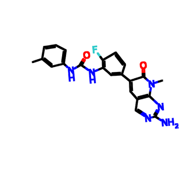 Cc1cccc(NC(=O)Nc2cc(-c3cc4cnc(N)nc4n(C)c3=O)ccc2F)c1